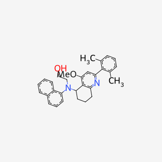 COc1cc(-c2c(C)cccc2C)nc2c1C(N(CCO)c1cccc3ccccc13)CCC2